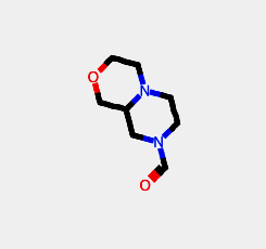 O=CN1CCN2CCOCC2C1